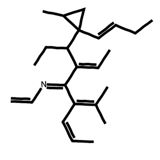 C=C/N=C(C(/C=C\C)=C(C)C)/C(=C/C)C(CC)C1(C=CCC)CC1C